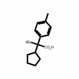 Cc1ccc(C(C(=O)O)(C2CCCC2)C(C)(C)C)cc1